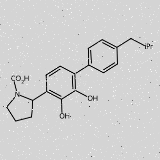 CC(C)Cc1ccc(-c2ccc(C3CCCN3C(=O)O)c(O)c2O)cc1